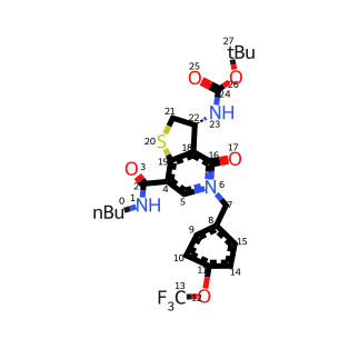 CCCCNC(=O)c1cn(Cc2ccc(OC(F)(F)F)cc2)c(=O)c2c1SC[C@@H]2NC(=O)OC(C)(C)C